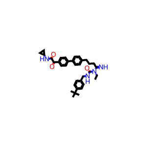 CCN(C(=N)CCCc1ccc(-c2ccc(C(=O)C(=O)NC3CC3)cc2)cc1)C(=O)NCc1ccc(C(C)(C)C)cc1